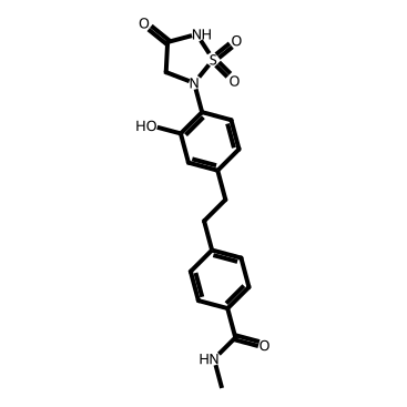 CNC(=O)c1ccc(CCc2ccc(N3CC(=O)NS3(=O)=O)c(O)c2)cc1